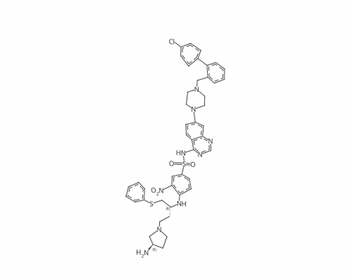 N[C@@H]1CCN(CC[C@H](CSc2ccccc2)Nc2ccc(S(=O)(=O)Nc3ncnc4cc(N5CCN(Cc6ccccc6-c6ccc(Cl)cc6)CC5)ccc34)cc2[N+](=O)[O-])C1